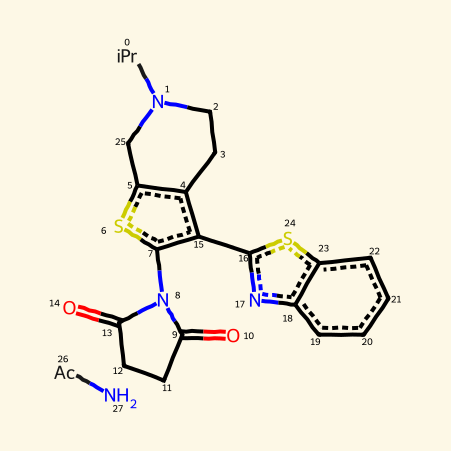 CC(C)N1CCc2c(sc(N3C(=O)CCC3=O)c2-c2nc3ccccc3s2)C1.CC(N)=O